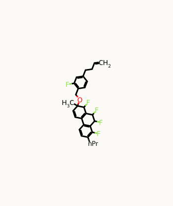 C=CCCc1ccc(COC2(C)C=CC3=C(C(F)C(F)c4c3ccc(CCC)c4F)C2F)c(F)c1